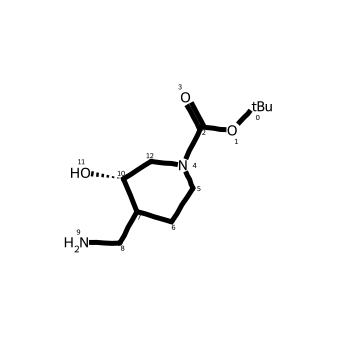 CC(C)(C)OC(=O)N1CCC(CN)[C@H](O)C1